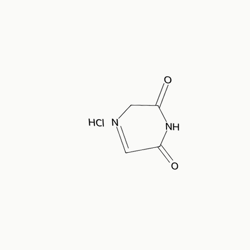 Cl.O=C1C=NCC(=O)N1